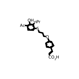 CCCc1c(SCCCOc2ccc(C=CC(=O)O)cc2)ccc(C(C)=O)c1O